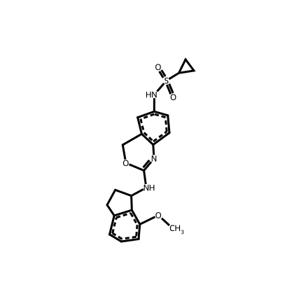 COc1cccc2c1C(NC1=Nc3ccc(NS(=O)(=O)C4CC4)cc3CO1)CC2